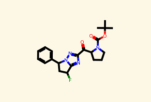 CC(C)(C)OC(=O)N1CCCC1C(=O)c1nc2n(n1)C(c1ccccc1)CC2F